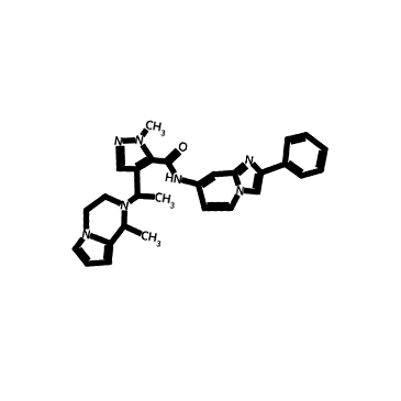 CC(c1cnn(C)c1C(=O)Nc1ccn2cc(-c3ccccc3)nc2c1)N1CCn2cccc2C1C